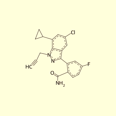 C#CCn1nc(-c2cc(F)ccc2C(N)=O)c2cc(Cl)cc(C3CC3)c21